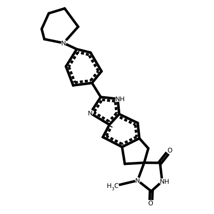 CN1C(=O)NC(=O)C12Cc1cc3nc(-c4ccc(N5CCCCC5)cc4)[nH]c3cc1C2